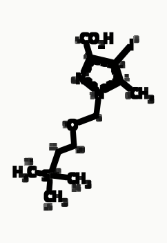 Cc1c(I)c(C(=O)O)nn1COCC[Si](C)(C)C